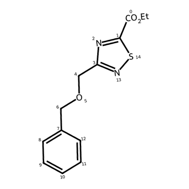 CCOC(=O)c1nc(COCc2ccccc2)ns1